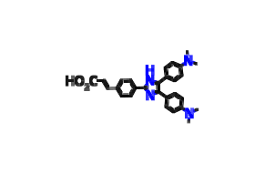 CN(C)c1ccc(-c2nc(-c3ccc(/C=C/C(=O)O)cc3)[nH]c2-c2ccc(N(C)C)cc2)cc1